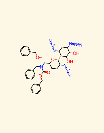 [N-]=[N+]=NC1CC(N=[N+]=[N-])[C@H](O)[C@@H](O)C1[C@H]1O[C@H]([C@@H](COCc2ccccc2)N(Cc2ccccc2)C(=O)OCc2ccccc2)CCC1N=[N+]=[N-]